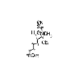 CCCCCCCCCCCCCC[N+](C)(C)CSC#N.[Cl-]